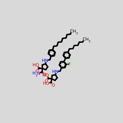 CCCCCCCCCc1ccc(CNC2CCC(C(N)=O)(C(=O)O)C2)cc1.CCCCCCCc1ccc(-c2ccc(CNC3CCC(C(=O)O)(C(=O)O)C3)cc2F)cc1